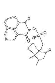 CC1CC(=O)C2(CS(=O)(=O)ON3C(=O)c4cccc5cccc(c45)C3=O)CCC12C